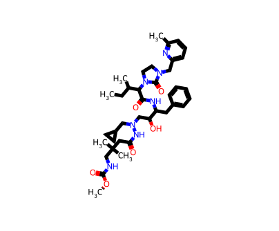 CCC(C)C(C(=O)NC(Cc1ccccc1)C(O)CN(CC1CC1)NC(=O)CC(C)(C)CNC(=O)OC)N1CCN(Cc2cccc(C)n2)C1=O